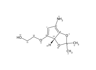 CC1(C)OC2=C(N)C=C(OCCO)[C@H]2O1